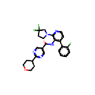 O=C(Nc1c(-c2ccccc2F)ccnc1N1CCC(F)(F)C1)c1cnc(C2CCOCC2)nc1